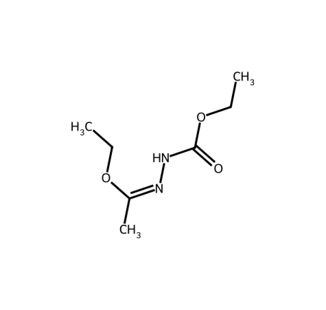 CCOC(=O)N/N=C(/C)OCC